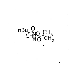 C=C(C)C(=O)ONC(=O)C(=C)CCCC